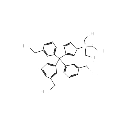 CC[Si](CC)(CC)[C]1C=CC(C(c2cccc(CN)c2)(c2cccc(CN)c2)c2cccc(CN)c2)=C1